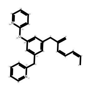 C=C(/C=C\C=C/C)Cc1cc(Cc2ccccn2)cc(Oc2ccccn2)c1